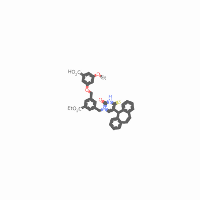 CCOC(=O)c1cc(COc2cc(OCC)cc(C(=O)O)c2)cc(Cn2cc(C3c4ccccc4C=Cc4ccccc43)c(=S)[nH]c2=O)c1